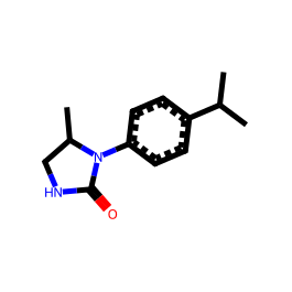 CC(C)c1ccc(N2C(=O)NCC2C)cc1